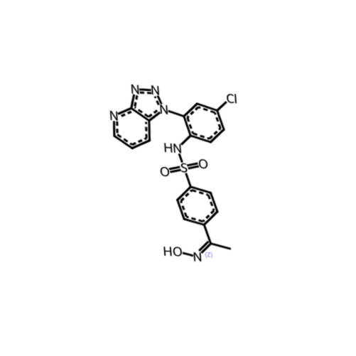 C/C(=N/O)c1ccc(S(=O)(=O)Nc2ccc(Cl)cc2-n2nnc3ncccc32)cc1